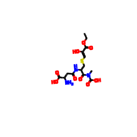 CCOC(=O)C(O)=CSCC(NC(=O)CC(N)C(=O)O)C(=O)N(C)C(=O)O